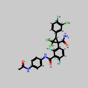 CC(=O)Nc1ccc(NC(=O)c2c(F)ccc(C3(C(N)=O)C(c4ccc(F)c(Cl)c4)C3(Cl)Cl)c2F)cc1